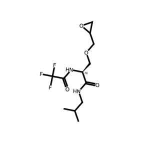 CC(C)CNC(=O)[C@H](COCC1CO1)NC(=O)C(F)(F)F